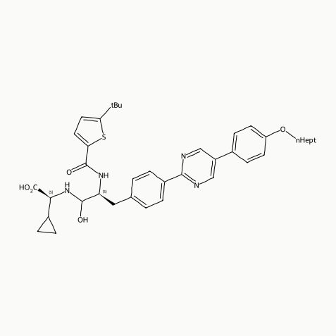 CCCCCCCOc1ccc(-c2cnc(-c3ccc(C[C@H](NC(=O)c4ccc(C(C)(C)C)s4)C(O)N[C@H](C(=O)O)C4CC4)cc3)nc2)cc1